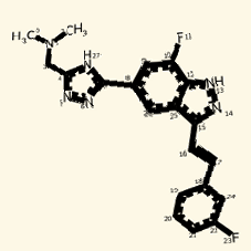 CN(C)Cc1nnc(-c2cc(F)c3[nH]nc(/C=C/c4cccc(F)c4)c3c2)[nH]1